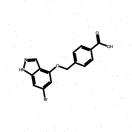 O=C(O)c1ccc(COc2cc(Br)cc3[nH]ncc23)cc1